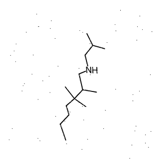 CCCCC(C)(C)C(C)CNCC(C)C